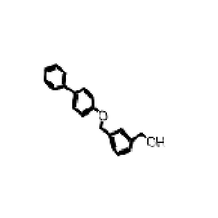 OCc1cccc(COc2ccc(-c3ccccc3)cc2)c1